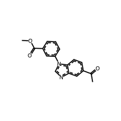 COC(=O)c1cccc(-n2cnc3cc(C(C)=O)ccc32)c1